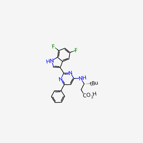 CC(C)(C)[C@H](CC(=O)O)Nc1cc(-c2ccccc2)nc(-c2c[nH]c3c(F)cc(F)cc23)n1